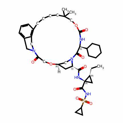 CC[C@@H]1C[C@]1(NC(=O)[C@@H]1C[C@@H]2CN1C(=O)[C@H](C1CCCCC1)NC(=O)OCC(C)(C)CCCCc1cccc3c1CN(C3)C(=O)CO2)C(=O)NS(=O)(=O)C1CC1